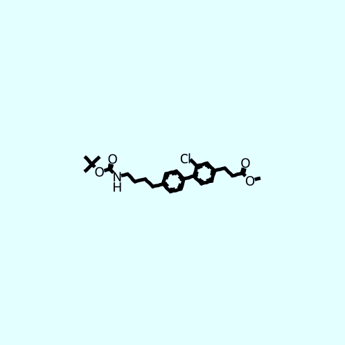 COC(=O)CCc1ccc(-c2ccc(CCCCNC(=O)OC(C)(C)C)cc2)c(Cl)c1